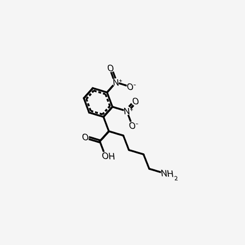 NCCCCC(C(=O)O)c1cccc([N+](=O)[O-])c1[N+](=O)[O-]